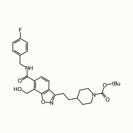 CC(C)(C)OC(=O)N1CCC(CCc2noc3c(CO)c(C(=O)NCc4ccc(F)cc4)ccc23)CC1